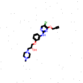 C#CCOc1nc(Nc2cccc(OC[C@H](O)CN3CCN(C)CC3)c2)ncc1Br